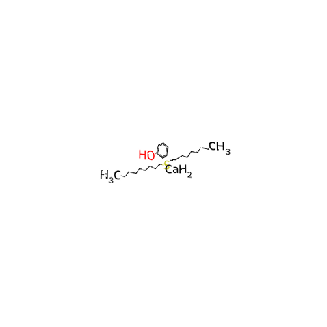 CCCCCCCCCSCCCCCCCCC.Oc1ccccc1.[CaH2]